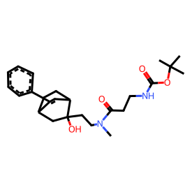 CN(CCC1(O)CC2CCC1C=C2c1ccccc1)C(=O)CCNC(=O)OC(C)(C)C